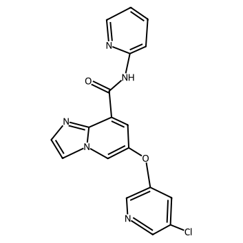 O=C(Nc1ccccn1)c1cc(Oc2cncc(Cl)c2)cn2ccnc12